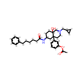 CC(=O)Oc1cccc(C23CCN(CC4CC4)CC2(O)CCC(NC(=O)CCCCCc2ccccc2)C3)c1